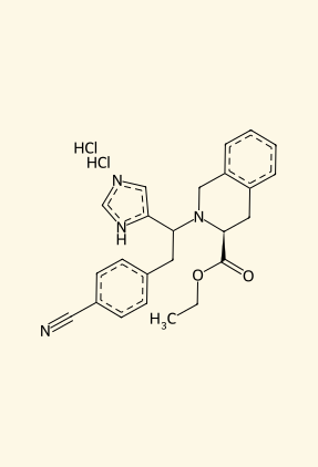 CCOC(=O)[C@@H]1Cc2ccccc2CN1C(Cc1ccc(C#N)cc1)c1cnc[nH]1.Cl.Cl